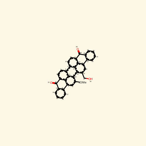 COc1cc2c3c(ccc4c5ccc6c7c(cc(CO)c(c1c34)c75)-c1ccccc1C6=O)C(=O)c1ccccc1-2